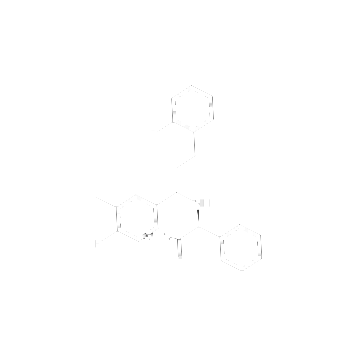 CNC(=O)[C@@H](N[C@@H](CCc1ccccc1F)c1ccc(F)c(C)c1)c1ccccc1